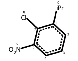 [CH2]C(C)c1cccc([N+](=O)[O-])c1Cl